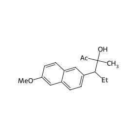 CCC(c1ccc2cc(OC)ccc2c1)C(C)(O)C(C)=O